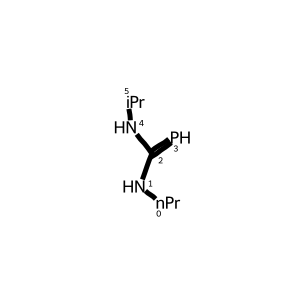 CCCNC(=P)NC(C)C